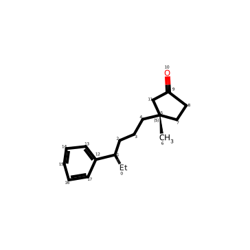 CCC(CCC[C@@]1(C)CCC(=O)C1)c1ccccc1